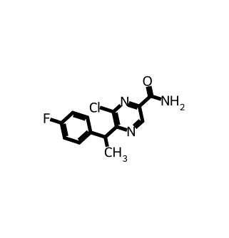 CC(c1ccc(F)cc1)c1ncc(C(N)=O)nc1Cl